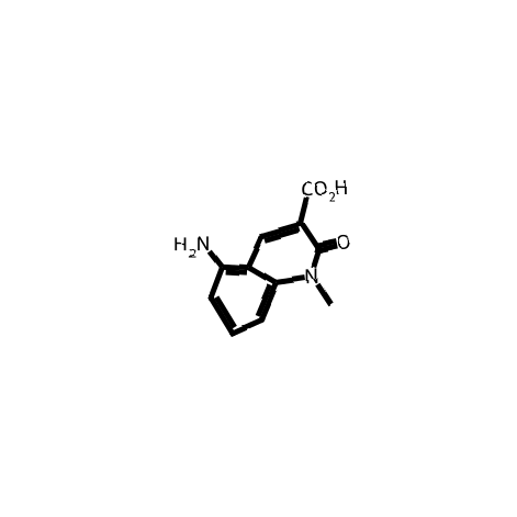 Cn1c(=O)c(C(=O)O)cc2c(N)cccc21